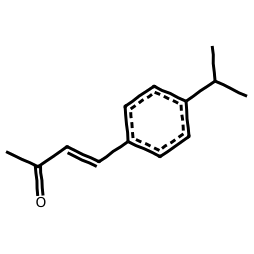 CC(=O)C=Cc1ccc(C(C)C)cc1